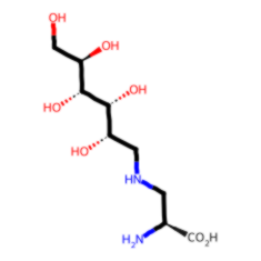 N[C@@H](CNC[C@H](O)[C@@H](O)[C@H](O)[C@H](O)CO)C(=O)O